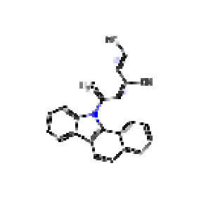 C=C(/C=C(C#N)\C=C\C#N)n1c2ccccc2c2ccc3ccccc3c21